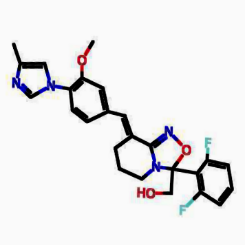 COc1cc(/C=C2\CCCN3C2=NOC3(CO)c2c(F)cccc2F)ccc1-n1cnc(C)c1